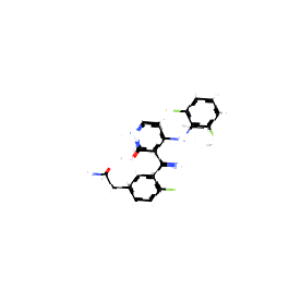 N=C(c1cc(CC(N)=O)ccc1F)c1c(Nc2c(F)cccc2F)cc[nH]c1=O